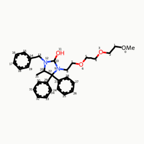 COCCOCCOCCN1C(O)N(Cc2ccccc2)C(C)C1(c1ccccc1)c1ccccc1